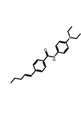 CCC/C=C/c1ccc(C(=O)Nc2ccc(N(CC)CC)cc2)cc1